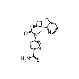 NC(=S)c1ccc(N(CC2(c3ncccc3F)CCC2)C(=O)O)nn1